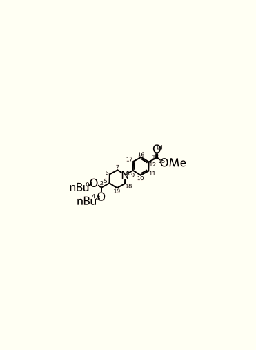 CCCCOC(OCCCC)C1CCN(c2ccc(C(=O)OC)cc2)CC1